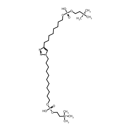 C[N+](C)(C)CCOP(=O)(O)OCCCCCCCCCCCn1cc(CCCCCCCCOP(=O)(O)OCC[N+](C)(C)C)nn1